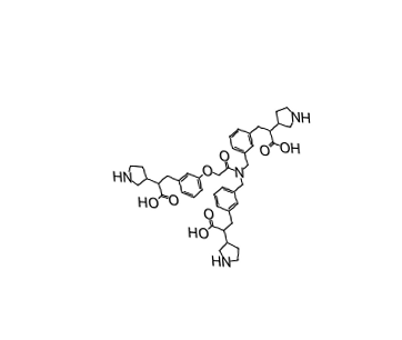 O=C(O)C(Cc1cccc(CN(Cc2cccc(CC(C(=O)O)C3CCNC3)c2)C(=O)COc2cccc(CC(C(=O)O)C3CCNC3)c2)c1)C1CCNC1